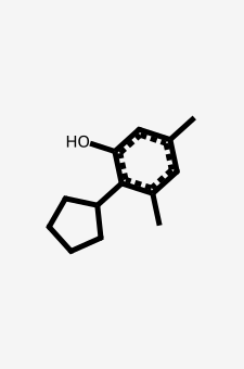 Cc1cc(C)c(C2CCCC2)c(O)c1